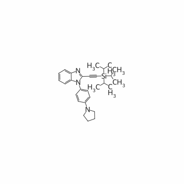 CC(C)[Si](C#Cc1nc2ccccc2n1-c1ccc(N2CCCC2)cc1)(C(C)C)C(C)C